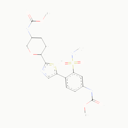 CC(C)OC(=O)Nc1ccc(-c2cnc(C3CCC(NC(=O)OC(C)C)CO3)s2)c(S(=O)(=O)NC(C)(C)C)c1